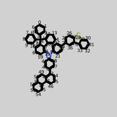 c1ccc(C2(c3ccccc3)c3ccccc3-c3c(N(c4ccc(-c5ccc6sc7ccccc7c6c5)cc4)c4ccc(-c5cccc6c5ccc5ccccc56)cc4)cccc32)cc1